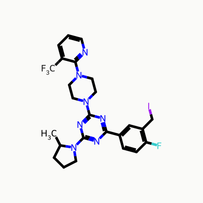 CC1CCCN1c1nc(-c2ccc(F)c(CI)c2)nc(N2CCN(c3ncccc3C(F)(F)F)CC2)n1